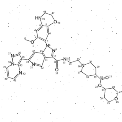 COc1cc2c(cc1-n1nc(C(=O)NCCN3CCC(C(=O)OC4CCOCC4)CC3)c3cnc(-c4cnn5cccnc45)cc31)OCCN2